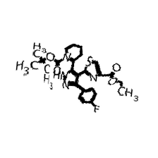 CCOC(=O)c1csc(-c2c(-c3ccc(F)cc3)n[nH]c2C2CCCCN2C(=O)OC(C)(C)C)n1